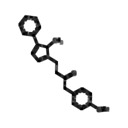 COc1ccc(CC(=O)CCC2=CC=C(c3ccccc3)C2C)cc1